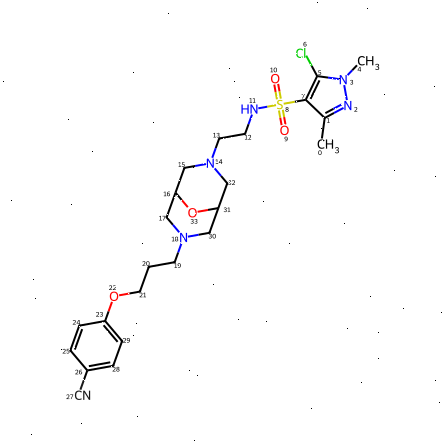 Cc1nn(C)c(Cl)c1S(=O)(=O)NCCN1CC2CN(CCCOc3ccc(C#N)cc3)CC(C1)O2